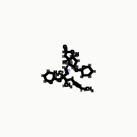 CCC#CCC(C)[C@@](C)(/C=C/[C@@H]1[C@H]2CC(=O)O[C@H]2C[C@H]1OC1CCCCO1)OC1CCCCO1